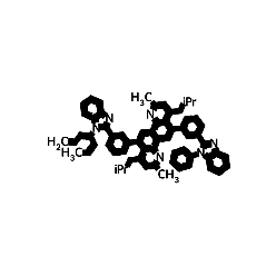 C=C/C=C(\C=C/C)n1c(-c2cccc(-c3cc4c(cc(-c5cccc(-c6nc7ccccc7n6-c6ccccc6)c5)c5c(CC(C)C)cc(C)nc54)c4nc(C)cc(CC(C)C)c34)c2)nc2ccccc21